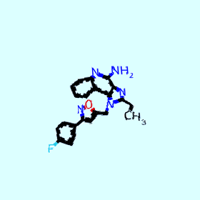 CCc1nc2c(N)nc3ccccc3c2n1Cc1cc(-c2ccc(F)cc2)no1